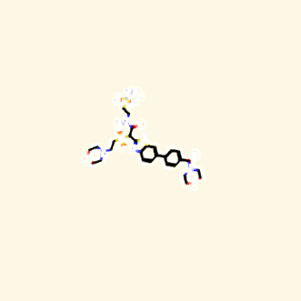 NS(=O)(=O)CCNC(=O)C(c1nc2ccc(-c3ccc(C(=O)N4CCOCC4)cc3)cc2s1)S(=O)(=O)CCN1CCOCC1